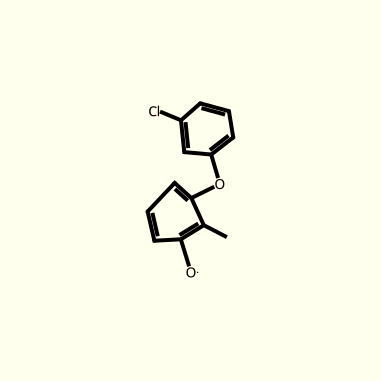 Cc1c([O])cccc1Oc1cccc(Cl)c1